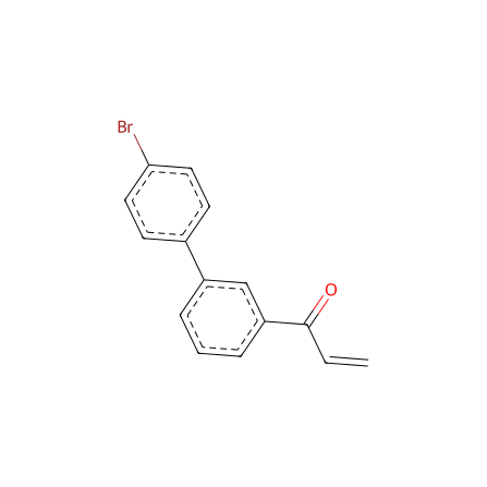 C=CC(=O)c1cccc(-c2ccc(Br)cc2)c1